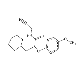 COc1ccc(OC(CC2CCCCC2)C(=O)NCC#N)cc1